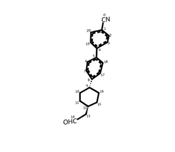 N#Cc1ccc(-c2ccc([C@H]3CC[C@H](CC=O)CC3)cc2)cc1